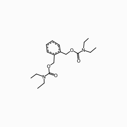 CCN(CC)C(=O)OCc1ccccc1COC(=O)N(CC)CC